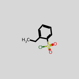 CCc1ccccc1S(=O)(=O)Cl